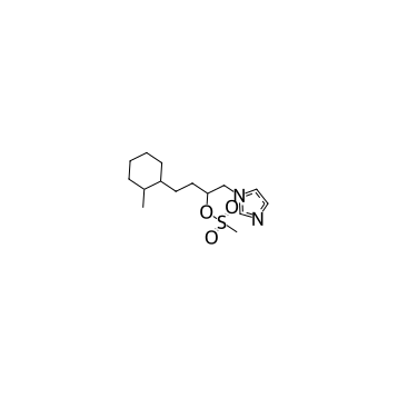 CC1CCCCC1CCC(Cn1ccnc1)OS(C)(=O)=O